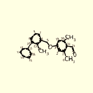 Cc1cc(OCc2cccc(-c3ccccc3)c2C)cc(C)c1C=O